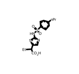 CCCc1ccc(S(=O)(=O)Nc2ncc(C(CC)C(=O)O)s2)cc1